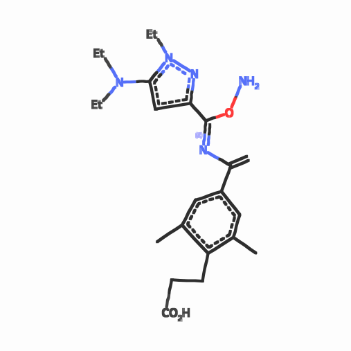 C=C(/N=C(\ON)c1cc(N(CC)CC)n(CC)n1)c1cc(C)c(CCC(=O)O)c(C)c1